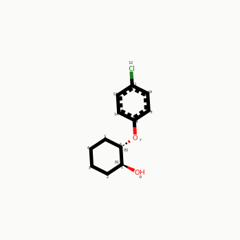 O[C@H]1CCCC[C@@H]1Oc1ccc(Cl)cc1